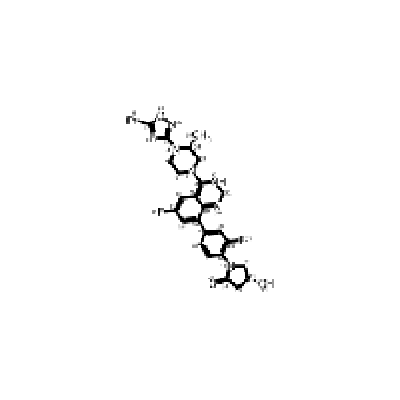 CC(C)c1nc(N2CCN(C3=c4cc(F)cc(-c5ccc(N6C[C@H](O)CC6=O)c(F)c5)c4=NCN3)C[C@@H]2C)no1